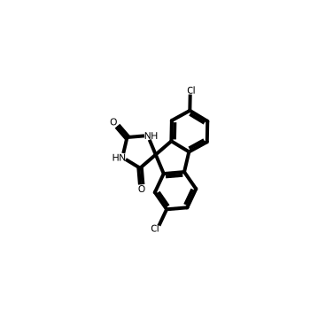 O=C1NC(=O)C2(N1)c1cc(Cl)ccc1-c1ccc(Cl)cc12